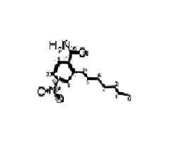 CCCCCCCc1cc([N+](=O)[O-])ccc1C(N)=O